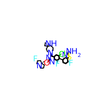 Nc1nc2c(-c3c(Cl)cc4c(N5CCCC6(CCN6)CC5)nc(OC[C@@]56CCCN5C[C@H](F)C6)nc4c3F)ccc(F)c2s1